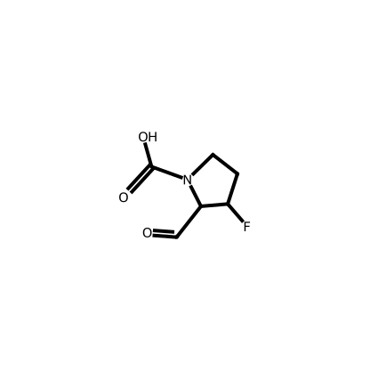 O=CC1C(F)CCN1C(=O)O